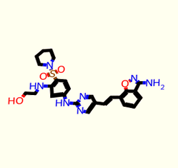 Nc1noc2c(/C=C/c3cnc(Nc4ccc(S(=O)(=O)N5CCCCC5)c(NCCO)c4)nc3)cccc12